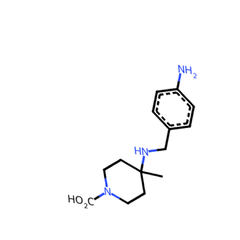 CC1(NCc2ccc(N)cc2)CCN(C(=O)O)CC1